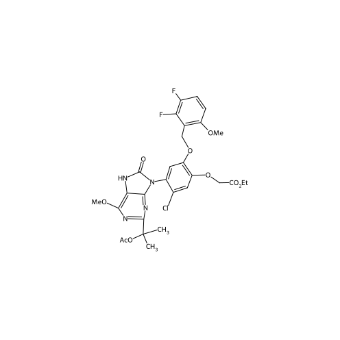 CCOC(=O)COc1cc(Cl)c(-n2c(=O)[nH]c3c(OC)nc(C(C)(C)OC(C)=O)nc32)cc1OCc1c(OC)ccc(F)c1F